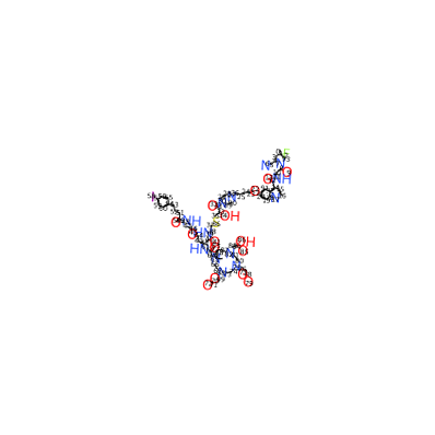 CC1(F)C[C@H](C#N)N(C(=O)CNC(=O)c2ccnc3ccc(OCCCCN4CCN(C(=O)[C@H](O)CSCCNC(=O)C(CCOCCNC(=O)CCCc5ccc(I)cc5)NC(=O)CN5CCN(COC=O)CCN(COC=O)CCN(CC(=O)O)CC5)CC4)cc23)C1